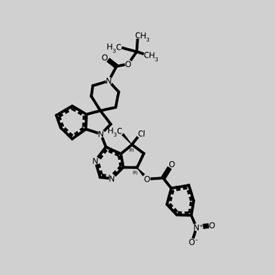 CC(C)(C)OC(=O)N1CCC2(CC1)CN(c1ncnc3c1[C@](C)(Cl)C[C@H]3OC(=O)c1ccc([N+](=O)[O-])cc1)c1ccccc12